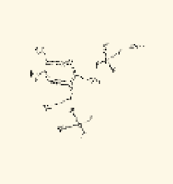 CCn1c(C)nc(C)c1C.F[B-](F)(F)F.F[B-](F)(F)F.[Zn+2]